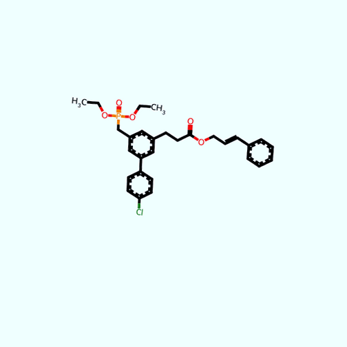 CCOP(=O)(Cc1cc(CCC(=O)OC/C=C/c2ccccc2)cc(-c2ccc(Cl)cc2)c1)OCC